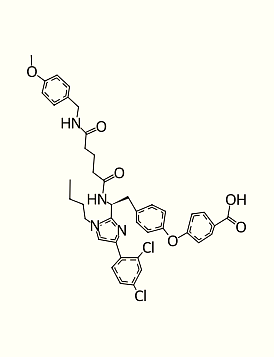 CCCCn1cc(-c2ccc(Cl)cc2Cl)nc1[C@H](Cc1ccc(Oc2ccc(C(=O)O)cc2)cc1)NC(=O)CCCC(=O)NCc1ccc(OC)cc1